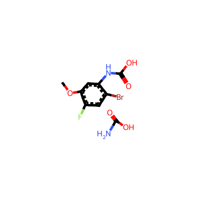 COc1cc(NC(=O)O)c(Br)cc1F.NC(=O)O